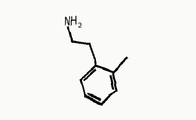 Cc1ccccc1CCN